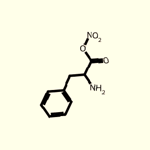 NC(Cc1ccccc1)C(=O)O[N+](=O)[O-]